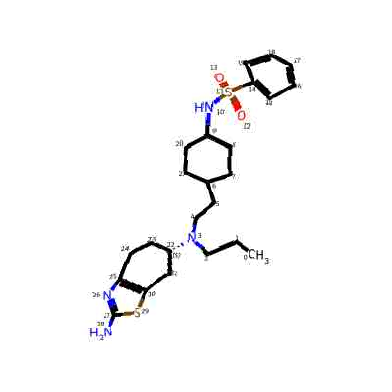 CCCN(CCC1CCC(NS(=O)(=O)c2ccccc2)CC1)[C@H]1CCc2nc(N)sc2C1